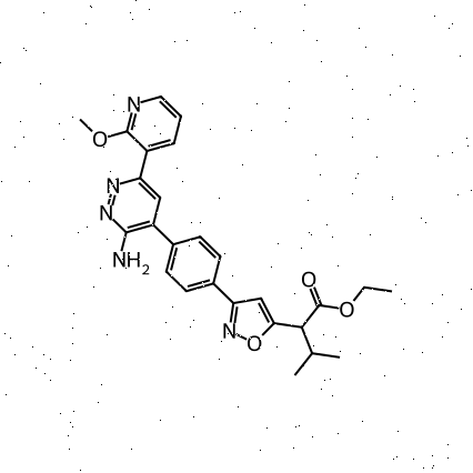 CCOC(=O)C(c1cc(-c2ccc(-c3cc(-c4cccnc4OC)nnc3N)cc2)no1)C(C)C